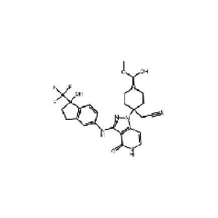 COC(O)N1CCC(CC#N)(n2nc(Nc3ccc4c(c3)CCC4(O)C(F)(F)F)c3c(=O)[nH]ccc32)CC1